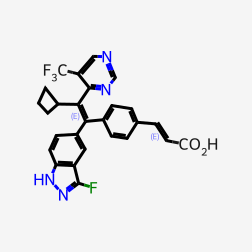 O=C(O)/C=C/c1ccc(/C(=C(\c2ncncc2C(F)(F)F)C2CCC2)c2ccc3[nH]nc(F)c3c2)cc1